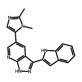 Cc1ncc(-c2cnc3[nH]nc(-c4cc5ccccc5[nH]4)c3c2)n1C